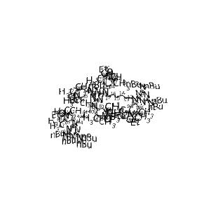 CCCCN(CCCC)c1nc(N(CCCC)CCCC)nc(N(CCCCCCN(c2nc(N(CCCC)C3CC(C)(C)N(OCC)C(C)(C)C3)nc(N(CCCCCCN(c3nc(N(CCCC)CCCC)nc(N(CCCC)CCCC)n3)C3CC(C)(C)N(OCC)C(C)(C)C3)C3CC(C)(C)N(OCC)C(C)(C)C3)n2)C2CC(C)(C)N(OCC)C(C)(C)C2)C2CC(C)(C)N(OCC)C(C)(C)C2)n1